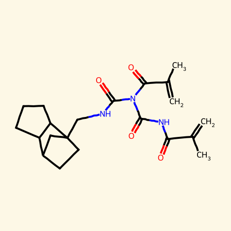 C=C(C)C(=O)NC(=O)N(C(=O)NCC12CCC(C1)C1CCCC12)C(=O)C(=C)C